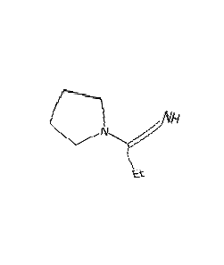 CCC(=N)N1CCCC1